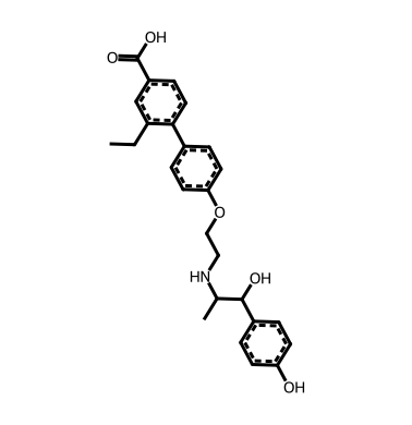 CCc1cc(C(=O)O)ccc1-c1ccc(OCCNC(C)C(O)c2ccc(O)cc2)cc1